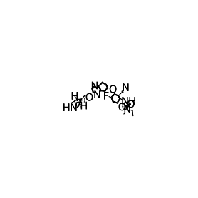 CCN(C)S(=O)(=O)Nc1ccc(F)c(Oc2ccc3ncc(OC[C@H]4[C@@H]5CNC[C@@H]54)nc3c2)c1C#N